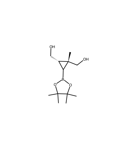 CC1(C)OB(C2[C@H](CO)[C@]2(C)CO)OC1(C)C